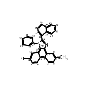 Cc1ccc2c3ccc(I)cc3c3c(nc(-c4cccc5ccccc45)n3-c3ccccc3)c2c1